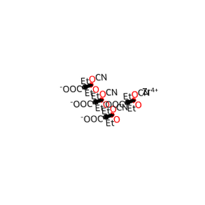 CCC(CC)(C(=O)[O-])C(=O)OC#N.CCC(CC)(C(=O)[O-])C(=O)OC#N.CCC(CC)(C(=O)[O-])C(=O)OC#N.CCC(CC)(C(=O)[O-])C(=O)OC#N.[Zr+4]